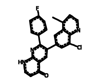 Cc1ccnc2c(Cl)cc(-c3cc4c(=O)cc[nH]c4nc3-c3ccc(F)cc3)cc12